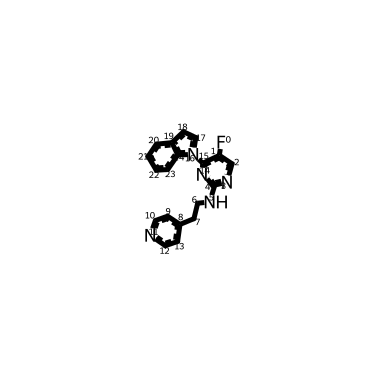 Fc1cnc(NCCc2ccncc2)nc1-n1ccc2ccccc21